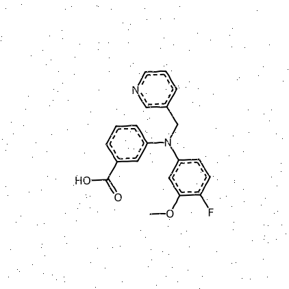 COc1cc(N(Cc2cccnc2)c2cccc(C(=O)O)c2)ccc1F